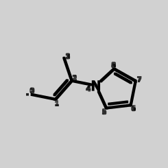 [CH2]C=C(C)n1cccc1